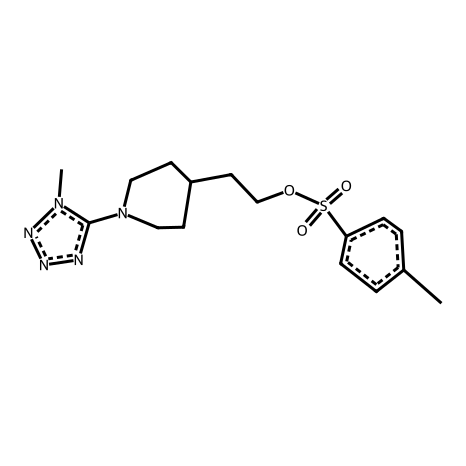 Cc1ccc(S(=O)(=O)OCCC2CCN(c3nnnn3C)CC2)cc1